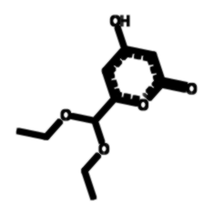 CCOC(OCC)c1cc(O)cc(=O)o1